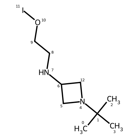 CC(C)(C)N1CC(NCCOI)C1